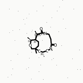 C[C@H]1CN(C)C(=O)CCNC(=O)[C@H](C)[C@]2(O)CCC(C)(CO[C@H]2C)C1